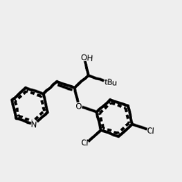 CC(C)(C)C(O)C(=Cc1cccnc1)Oc1ccc(Cl)cc1Cl